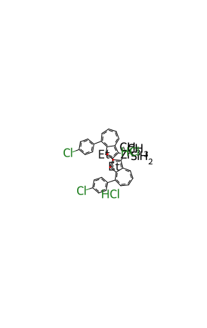 CCc1cc2c(-c3ccc(Cl)cc3)ccccc-2[c]1[Zr]([CH3])([CH3])(=[SiH2])[c]1c(CC)cc2c(-c3ccc(Cl)cc3)ccccc1-2.Cl.Cl